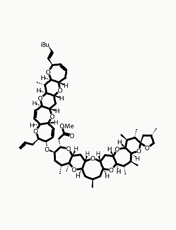 C=CC[C@H]1O[C@H]2C=C[C@H]3O[C@H]4[C@H](C)[C@H]5O[C@@H](/C=C/[C@H](C)CC)C=CC[C@@H]5O[C@@H]4C[C@@H]3O[C@@H]2C=C[C@@H]1O[C@@H]1C[C@@H](C)[C@]2(C)O[C@@H]3C[C@H](C)C[C@@H]4O[C@@H]5[C@@H](C)[C@H](C)[C@@H]6O[C@]7(C[C@H](C)CO7)[C@@H](C)[C@H](C)[C@H]6O[C@H]5C[C@H]4O[C@H]3C[C@H]2O[C@H]1CC(=O)OC